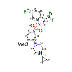 COc1ccc(S(=O)(=O)n2cc(C(F)F)c3ccc(Br)cc32)cc1N1CCN(C2CC2)CC1